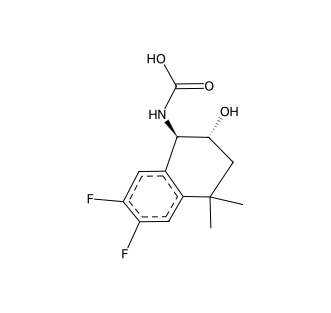 CC1(C)C[C@@H](O)[C@H](NC(=O)O)c2cc(F)c(F)cc21